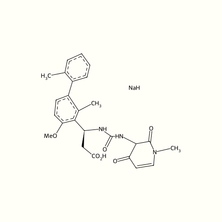 COc1ccc(-c2ccccc2C)c(C)c1[C@H](CC(=O)O)NC(=O)NC1C(=O)C=CN(C)C1=O.[NaH]